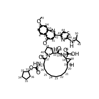 COc1ccc2c(O[C@@H]3C[C@H]4C(=O)N[C@]5(C(=O)O)C[C@H]5CCCCCCC[C@H](NC(=O)OC5CCCC5)C(=O)N4C3)cc(-c3csc(NC(C)C)n3)nc2c1